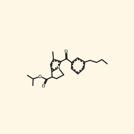 CCCCc1cccc(C(=O)c2c(C)cc3n2CCC3C(=O)OC(C)C)c1